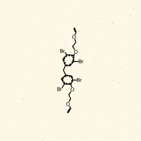 C=COCCOc1c(Br)cc(Cc2cc(Br)c(OCCOC=C)c(Br)c2)cc1Br